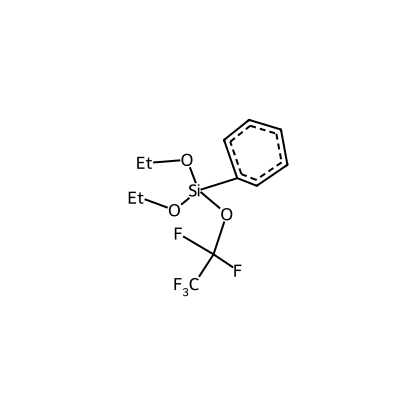 CCO[Si](OCC)(OC(F)(F)C(F)(F)F)c1ccccc1